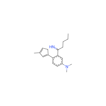 CCCCC(=N)c1cc(N(C)C)ccc1C1=CC(C)=CC1